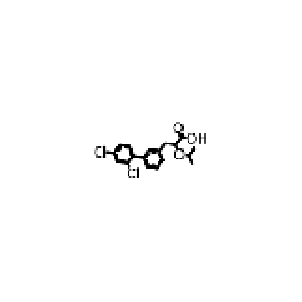 CC(C)OC(Cc1cccc(-c2ccc(Cl)cc2Cl)c1)C(=O)O